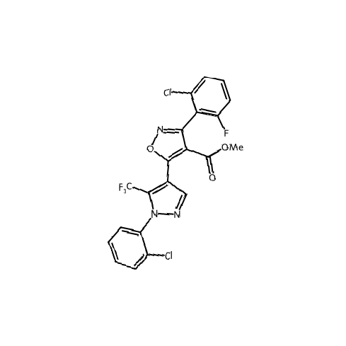 COC(=O)c1c(-c2c(F)cccc2Cl)noc1-c1cnn(-c2ccccc2Cl)c1C(F)(F)F